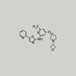 Cc1cc(O[C@H]2CCN(C3COC3)C2)cc(Nc2ncc(-c3ccccn3)s2)n1